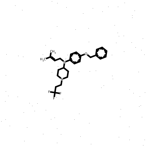 CC(C)=CCN(c1ccc(OCc2ccccc2)cc1)C1CCN(CCC(F)(F)F)CC1